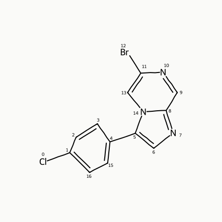 Clc1ccc(-c2cnc3cnc(Br)cn23)cc1